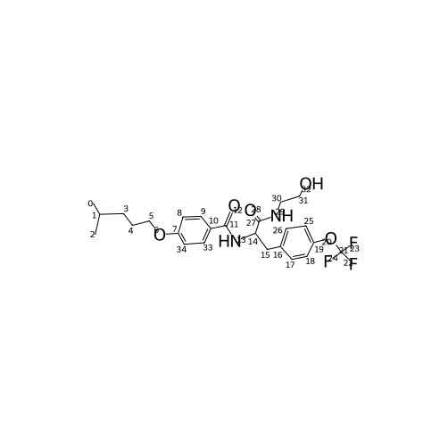 CC(C)CCCOc1ccc(C(=O)NC(Cc2ccc(OC(F)(F)F)cc2)C(=O)NCCO)cc1